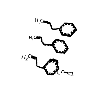 C=CCc1ccccc1.C=CCc1ccccc1.C=CCc1ccccc1.CCl